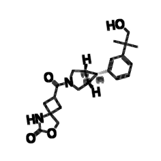 CC(C)(CO)c1cccc([C@@H]2[C@@H]3CN(C(=O)C4CC5(COC(=O)N5)C4)C[C@@H]32)c1